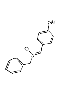 CC(=O)Oc1ccc(C=[N+]([O-])Cc2ccccc2)cc1